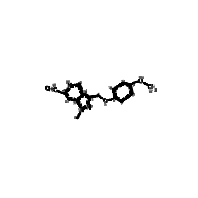 Cn1nc(COc2ccc(OC(F)(F)F)cc2)c2cnc(C=O)cc21